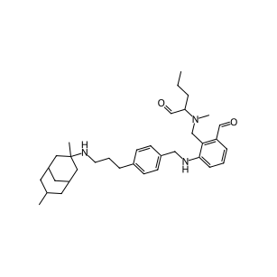 CCCC(C=O)N(C)Cc1c(C=O)cccc1NCc1ccc(CCCNC2(C)CC3CC(C)CC(C3)C2)cc1